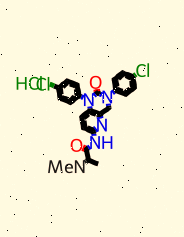 CNC(C)C(=O)Nc1ccc2c(n1)CN(c1ccc(Cl)cc1)C(=O)N2c1ccc(Cl)cc1.Cl